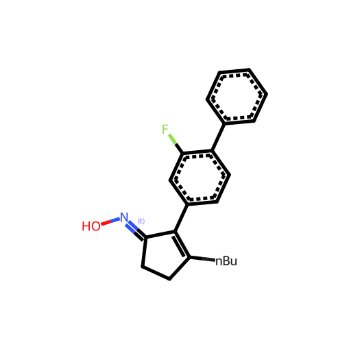 CCCCC1=C(c2ccc(-c3ccccc3)c(F)c2)/C(=N/O)CC1